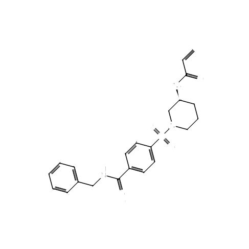 C=CC(=O)N[C@H]1CCCN(S(=O)(=O)c2ccc(C(=O)NCc3ccccc3)cc2)C1